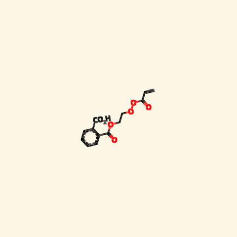 C=CC(=O)OOCCOC(=O)c1ccccc1C(=O)O